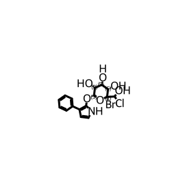 OC(Cl)[C@@]1(Br)O[C@H](Oc2[nH]ccc2-c2ccccc2)[C@H](O)[C@@H](O)[C@@H]1O